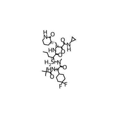 CCC[C@H]([SiH2]N(C)C(=O)[C@H](NC(=O)C(C)(C)C)C1CCC(F)(F)CC1)C(=O)N[C@@H](C[C@@H]1CCCNC1=O)C(=O)C(=O)NC1CC1